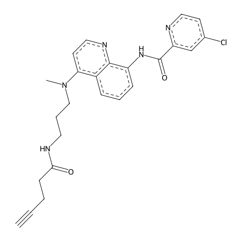 C#CCCC(=O)NCCCN(C)c1ccnc2c(NC(=O)c3cc(Cl)ccn3)cccc12